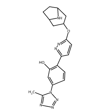 Cc1nnnn1-c1ccc(-c2ccc(OC3CC4CCC(C3)N4)nn2)c(O)c1